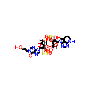 O=c1c2ncn([C@@H]3O[C@@H]4COP(=O)(S)O[C@H]5[C@@H](O)[C@H](n6cc7c8c(ncnc86)NCCC7)O[C@@H]5COP(=O)(S)O[C@@H]3[C@@H]4O)c2ncn1CCCO